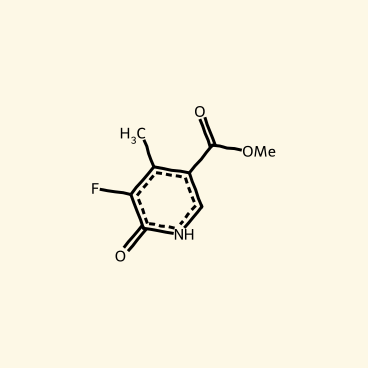 COC(=O)c1c[nH]c(=O)c(F)c1C